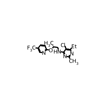 CCc1nc(C)nc(NC[C@@H](C)Oc2ccc(C(F)(F)F)cn2)c1Cl